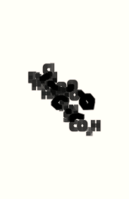 CCc1[nH]c(C(=O)NC2CCN(c3nc(C)c(C(=O)O)s3)CC2NC(=O)OCc2ccccc2)nc1Cl